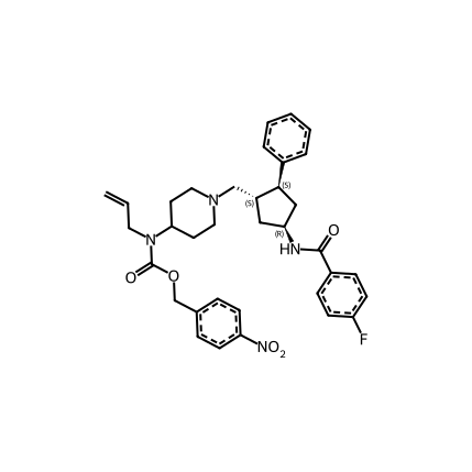 C=CCN(C(=O)OCc1ccc([N+](=O)[O-])cc1)C1CCN(C[C@H]2C[C@H](NC(=O)c3ccc(F)cc3)C[C@@H]2c2ccccc2)CC1